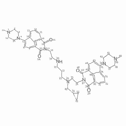 CN1CCN(c2ccc3c4c(cccc24)C(=O)N(CCNCCCN(CCN2C(=O)c4cccc5c(N6CCN(C)CC6)ccc(c45)C2=O)CC2CC2)C3=O)CC1